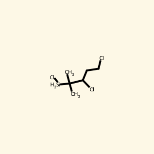 CC(C)([SiH2]Cl)C(Cl)CCCl